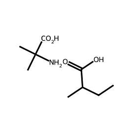 CC(C)(N)C(=O)O.CCC(C)C(=O)O